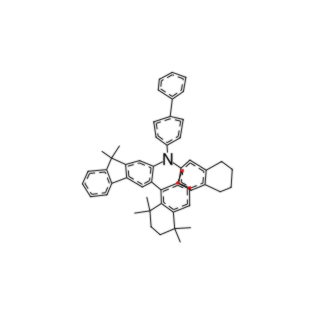 Cc1ccc2c(c1-c1cc3c(cc1N(c1ccc(-c4ccccc4)cc1)c1ccc4c(c1)CCCC4)C(C)(C)c1ccccc1-3)C(C)(C)CCC2(C)C